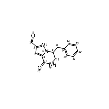 O=Cc1cc2n(n1)C(Cc1ccccc1)CNC2=O